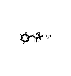 O=C(O)C(Cl)(Cl)NCc1ccccc1